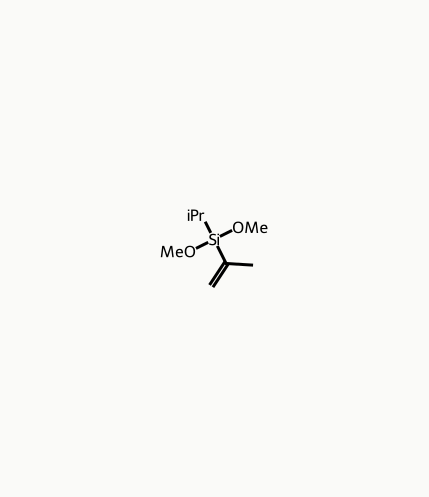 C=C(C)[Si](OC)(OC)C(C)C